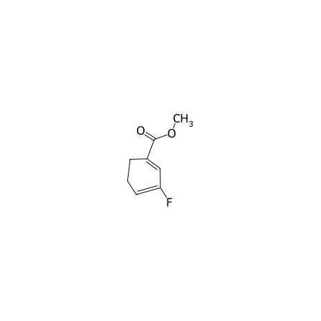 COC(=O)C1=CC(F)=CCC1